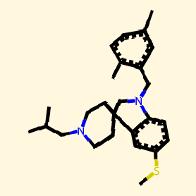 CSc1ccc2c(c1)C1(CCN(CC(C)C)CC1)CN2Cc1cc(C)ccc1C